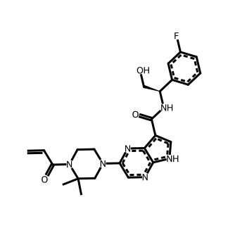 C=CC(=O)N1CCN(c2cnc3[nH]cc(C(=O)N[C@@H](CO)c4cccc(F)c4)c3n2)CC1(C)C